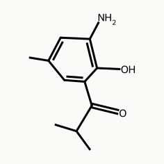 Cc1cc(N)c(O)c(C(=O)C(C)C)c1